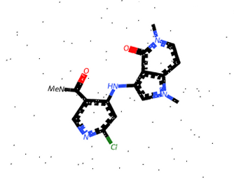 CNC(=O)c1cnc(Cl)cc1Nc1cn(C)c2ccn(C)c(=O)c12